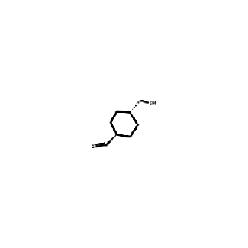 S=C[C@H]1CC[C@H](CS)CC1